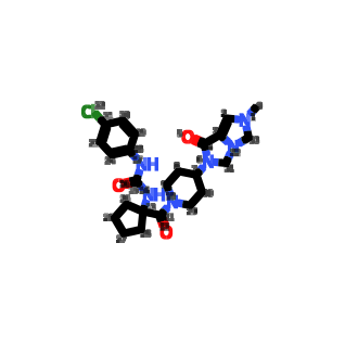 CN1C=C2C(=O)N(C3CCN(C(=O)C4(NC(=O)Nc5ccc(Cl)cc5)CCCC4)CC3)CN2C1